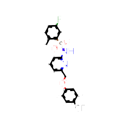 Cc1ccc(F)cc1S(=O)(=O)Nc1cccc(COc2ccc(C(F)(F)F)cc2)n1